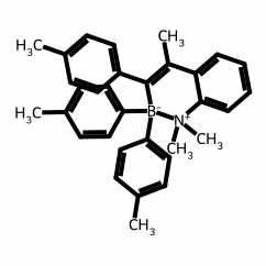 CC1=C(c2ccc(C)cc2)[B-](c2ccc(C)cc2)(c2ccc(C)cc2)[N+](C)(C)c2ccccc21